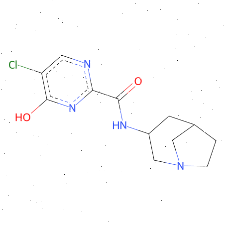 O=C(NC1CC2CCN(C2)C1)c1ncc(Cl)c(O)n1